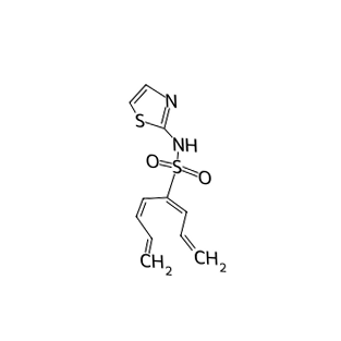 C=C/C=C\C(=C/C=C)S(=O)(=O)Nc1nccs1